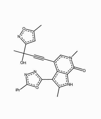 Cc1cc(C(C)(O)C#Cc2cn(C)c(=O)c3[nH]c(C)c(-c4nnc(C(C)C)o4)c23)no1